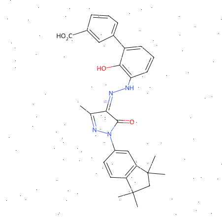 CC1=NN(c2ccc3c(c2)C(C)(C)CC3(C)C)C(=O)/C1=N\Nc1cccc(-c2cccc(C(=O)O)c2)c1O